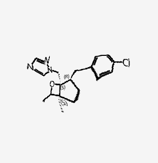 CC1O[C@@]2(Cn3cncn3)[C@@H](Cc3ccc(Cl)cc3)CC[C@@]12C